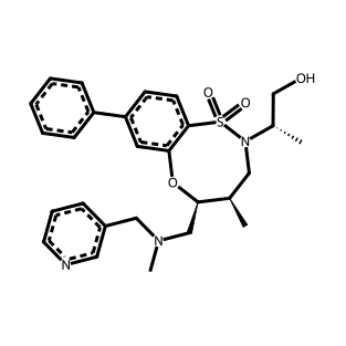 C[C@@H]1CN([C@@H](C)CO)S(=O)(=O)c2ccc(-c3ccccc3)cc2O[C@@H]1CN(C)Cc1cccnc1